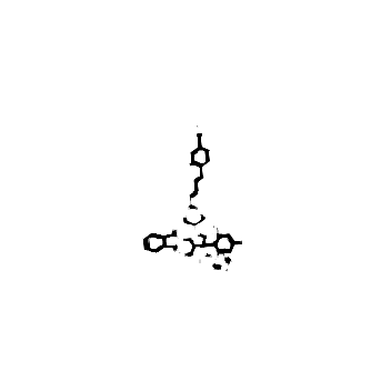 C[C@@H](S[C@H]1CO[C@H](/C=C/C=C/c2ccc(C#N)cc2F)OC1)[C@@](Cn1cncn1)(c1ccc(F)cc1F)C(CN1C(=O)c2ccccc2C1=O)C(=O)O